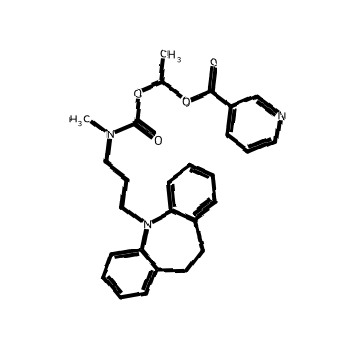 CC(OC(=O)c1cccnc1)OC(=O)N(C)CCCN1c2ccccc2CCc2ccccc21